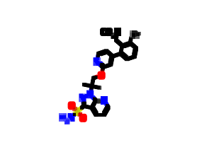 CC(C)c1cccc(-c2ccnc(OCC(C)(C)n3nc(S(N)(=O)=O)c4cccnc43)c2)c1CC(=O)O